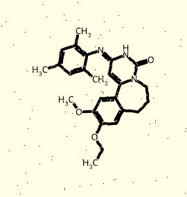 CCOc1cc2c(cc1OC)-c1c/c(=N\c3c(C)cc(C)cc3C)[nH]c(=O)n1CCC2